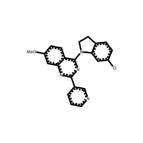 COc1ccc2c(N3CCc4ccc(Cl)cc43)nc(-c3cccnc3)nc2c1